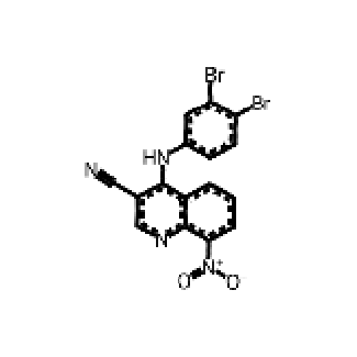 N#Cc1cnc2c([N+](=O)[O-])cccc2c1Nc1ccc(Br)c(Br)c1